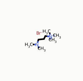 CN(C)CCC[N+](C)(C)C.[Br-]